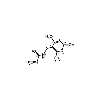 C=CC(=O)NCc1c(C)cc(=O)oc1C